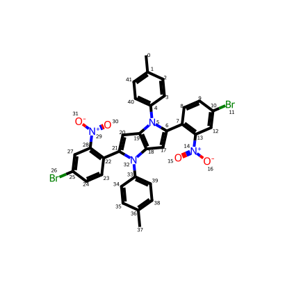 Cc1ccc(-n2c(-c3ccc(Br)cc3[N+](=O)[O-])cc3c2cc(-c2ccc(Br)cc2[N+](=O)[O-])n3-c2ccc(C)cc2)cc1